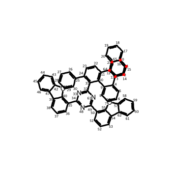 c1ccc(-c2ccccc2-c2c(-c3cccc4ccccc34)ccc(-c3ccccc3)c2-c2nc(-c3cccc4c3oc3ccccc34)nc(-c3cccc4c3oc3ccccc34)n2)cc1